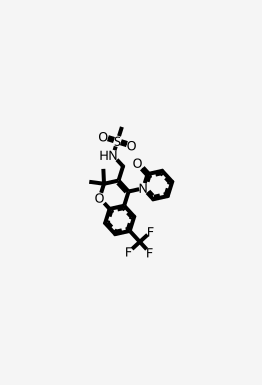 CC1(C)Oc2ccc(C(F)(F)F)cc2C(n2ccccc2=O)=C1CNS(C)(=O)=O